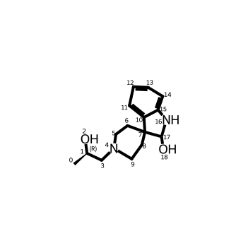 C[C@@H](O)CN1CCC2(CC1)c1ccccc1NC2O